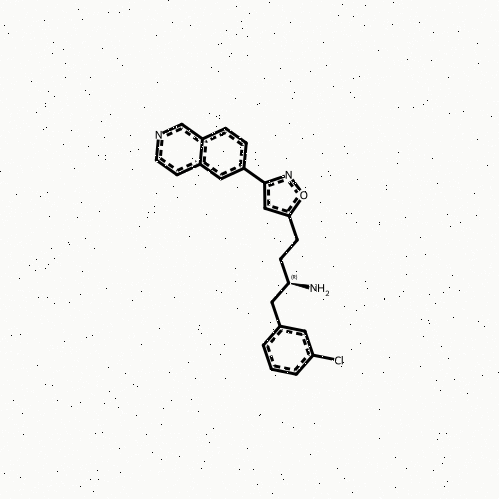 N[C@H](CCc1cc(-c2ccc3cnccc3c2)no1)Cc1cccc(Cl)c1